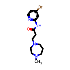 CN1CCCN(CCC(=O)Nc2cc(Br)ccn2)CC1